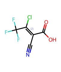 N#C/C(C(=O)O)=C(/Cl)C(F)(F)F